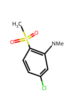 CNc1cc(Cl)ccc1S(C)(=O)=O